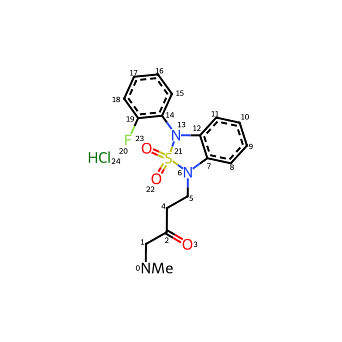 CNCC(=O)CCN1c2ccccc2N(c2ccccc2F)S1(=O)=O.Cl